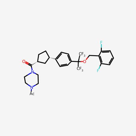 CC(=O)N1CCN(C(=O)[C@@H]2CC[C@H](c3ccc(C(OCc4c(F)cccc4F)(C(F)(F)F)C(F)(F)F)cc3)C2)CC1